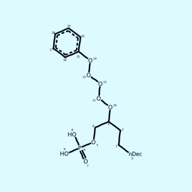 CCCCCCCCCCCCC(COP(=O)(O)O)OOOOOc1ccccc1